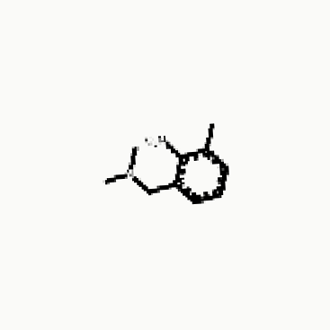 [CH2]c1cccc(CN(C)C)c1[N+](=O)[O-]